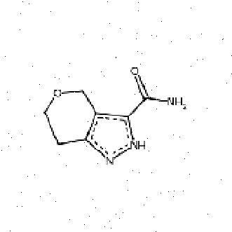 NC(=O)c1[nH]nc2c1COCC2